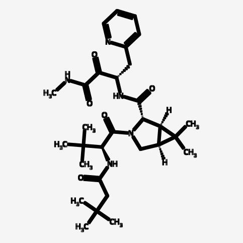 CNC(=O)C(=O)[C@H](Cc1ccccn1)NC(=O)[C@@H]1[C@@H]2[C@H](CN1C(=O)[C@@H](NC(=O)CC(C)(C)C)C(C)(C)C)C2(C)C